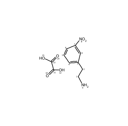 NCCc1cccc([N+](=O)[O-])c1.O=C(O)C(=O)O